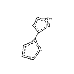 c1coc(-c2cc[nH]n2)c1